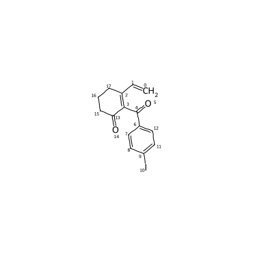 C=CC1=C(C(=O)c2ccc(I)cc2)C(=O)CCC1